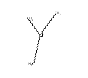 CCCCCCCCCCCCCCCCC[n+]1ccn(CCCCCCCCCCCCCCC)c1CCCCCCCCCCCC